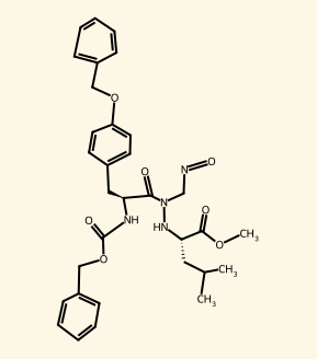 COC(=O)[C@H](CC(C)C)NN(CN=O)C(=O)[C@H](Cc1ccc(OCc2ccccc2)cc1)NC(=O)OCc1ccccc1